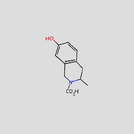 CC1Cc2ccc(O)cc2CN1C(=O)O